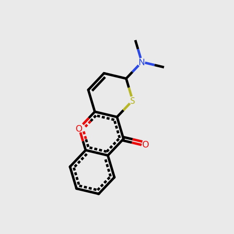 CN(C)C1C=Cc2oc3ccccc3c(=O)c2S1